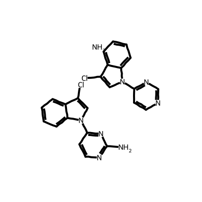 Clc1cn(-c2ccncn2)c2ccccc12.N.Nc1nccc(-n2cc(Cl)c3ccccc32)n1